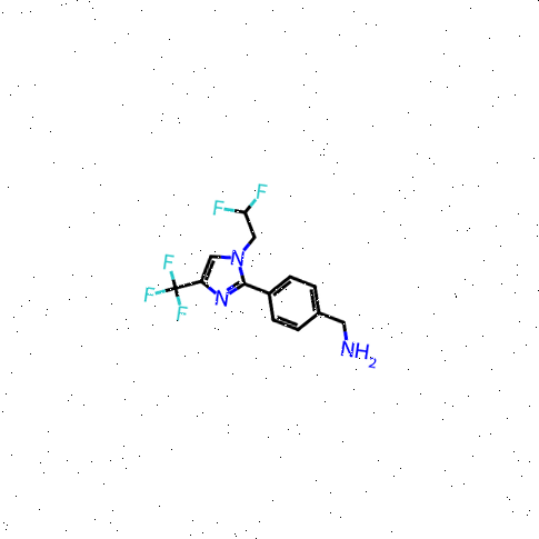 NCc1ccc(-c2nc(C(F)(F)F)cn2CC(F)F)cc1